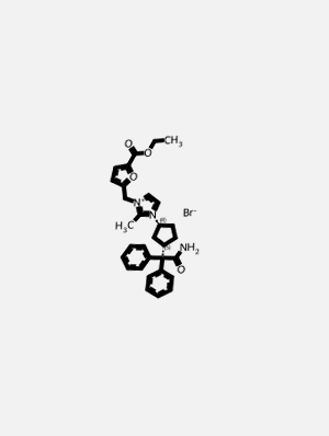 CCOC(=O)c1ccc(C[n+]2ccn([C@@H]3CC[C@H](C(C(N)=O)(c4ccccc4)c4ccccc4)C3)c2C)o1.[Br-]